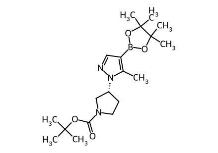 Cc1c(B2OC(C)(C)C(C)(C)O2)cnn1[C@@H]1CCN(C(=O)OC(C)(C)C)C1